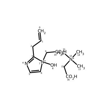 C=CCC1=NC=C[N+]1(O)CC(=O)O.C[N+](C)(C)CC(=O)O